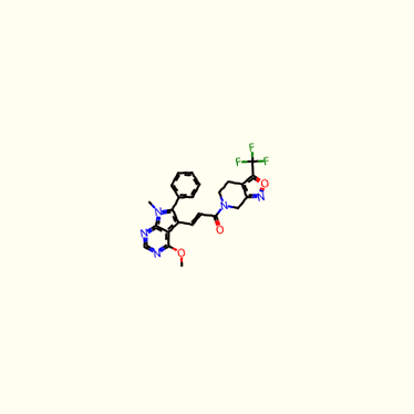 COc1ncnc2c1c(/C=C/C(=O)N1CCc3c(noc3C(F)(F)F)C1)c(-c1ccccc1)n2C